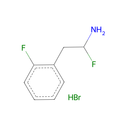 Br.NC(F)Cc1ccccc1F